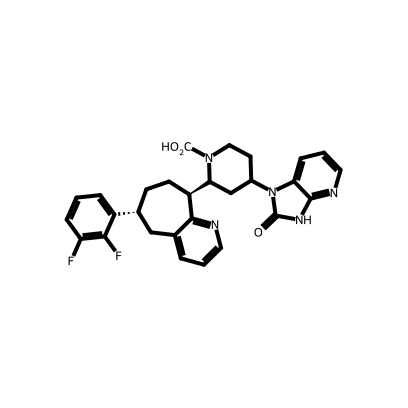 O=C(O)N1CCC(n2c(=O)[nH]c3ncccc32)CC1[C@@H]1CC[C@@H](c2cccc(F)c2F)Cc2cccnc21